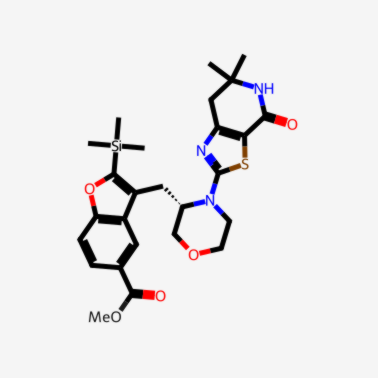 COC(=O)c1ccc2oc([Si](C)(C)C)c(C[C@H]3COCCN3c3nc4c(s3)C(=O)NC(C)(C)C4)c2c1